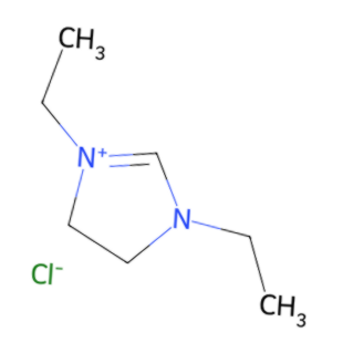 CCN1C=[N+](CC)CC1.[Cl-]